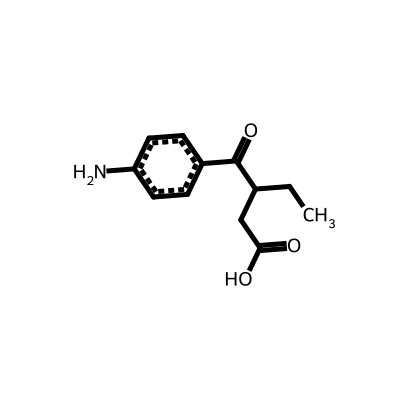 CCC(CC(=O)O)C(=O)c1ccc(N)cc1